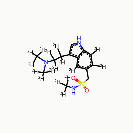 [2H]c1c(CS(=O)(=O)NC([2H])([2H])[2H])c([2H])c2c(C([2H])([2H])C([2H])([2H])N(C([2H])([2H])[2H])C([2H])([2H])[2H])c[nH]c2c1[2H]